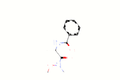 CON(C)C(=O)[C@H](C)NC(=O)c1ccccc1